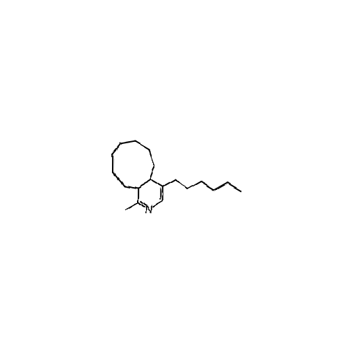 CCCCCCC1=CN=C(C)C2CCCCCCCC12